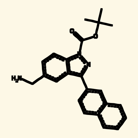 CC(C)(C)OC(=O)n1nc(-c2ccc3ccccc3c2)c2cc(CN)ccc21